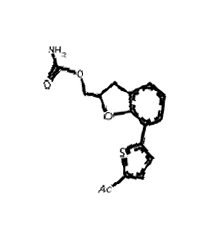 CC(=O)c1ccc(-c2cccc3c2OC(COC(N)=O)C3)s1